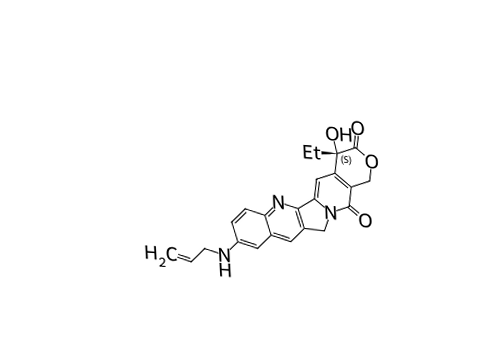 C=CCNc1ccc2nc3c(cc2c1)Cn1c-3cc2c(c1=O)COC(=O)[C@]2(O)CC